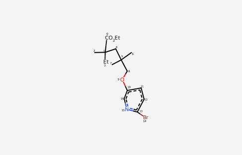 CCOC(=O)C(C)(CC)CC(C)(C)COc1ccc(Br)nc1